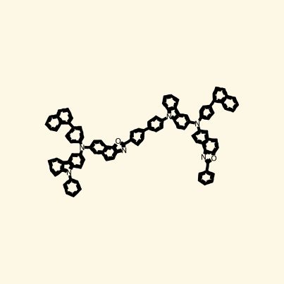 c1ccc(-c2nc3c(ccc4cc(N(c5ccc(-c6cccc7ccccc67)cc5)c5ccc6c(c5)c5ccccc5n6-c5ccc(-c6ccc(-c7nc8ccc9cc(N(c%10ccc(-c%11cccc%12ccccc%11%12)cc%10)c%10ccc%11c(c%10)c%10ccccc%10n%11-c%10ccccc%10)ccc9c8o7)cc6)cc5)ccc43)o2)cc1